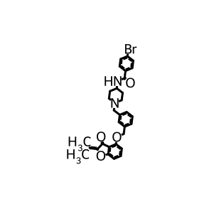 CC(C)=C1Oc2cccc(OCc3cccc(CN4CCC(NC(=O)c5ccc(Br)cc5)CC4)c3)c2C1=O